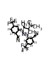 CC(C(=O)N(/N=N/c1cc(C(F)(F)F)ccc1C#N)c1cc(C(F)(F)F)ccc1C#N)N(C)C